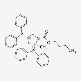 CCCCOC(=O)N1C[C@@H](P(c2ccccc2)c2ccccc2)C[C@]1(C)P(c1ccccc1)c1ccccc1